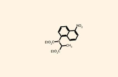 CCOC(=O)C(C)N(C(=O)OCC)c1cccc2c([N+](=O)[O-])cccc12